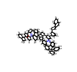 c1ccc(N(c2cc(-c3cccc(-c4ccc5c(ccc6ccccc65)c4)c3)cc(-c3cccc(C4(c5ccccc5)c5ccccc5-c5c(N(c6ccccc6)c6ccccc6-c6ccc(-c7cccc8ccccc78)cc6)cccc54)c3)c2)c2cccc3c2-c2ccccc2C3(c2ccccc2)c2ccccc2)cc1